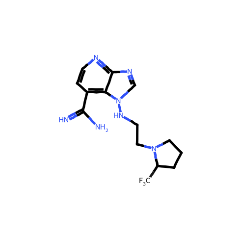 N=C(N)c1ccnc2ncn(NCCN3CCCC3C(F)(F)F)c12